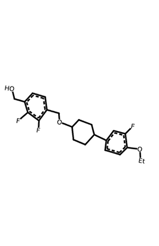 CCOc1ccc(C2CCC(OCc3ccc(CO)c(F)c3F)CC2)cc1F